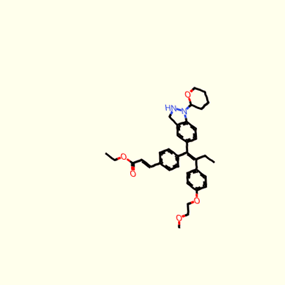 CCOC(=O)/C=C/c1ccc(/C(=C(/CC)c2ccc(OCCOC)cc2)c2ccc3c(c2)CNN3C2CCCCO2)cc1